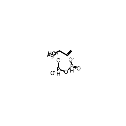 C=CCO.O=[PH]([O-])O[PH](=O)[O-].[Ag+2]